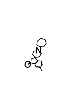 Cc1ccc2c(c1)C(=O)CC21CCN(C2CCCCCC2)CC1